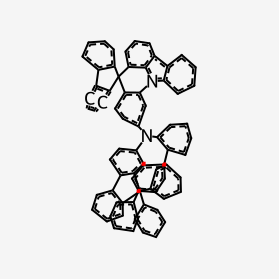 c1ccc(-c2ccc(-c3ccccc3N(c3ccc4c(c3)-n3c5ccccc5c5cccc(c53)C43c4ccccc4-c4ccccc43)c3ccc4c(c3)C(c3ccccc3)(c3ccccc3)c3ccccc3-4)cc2)cc1